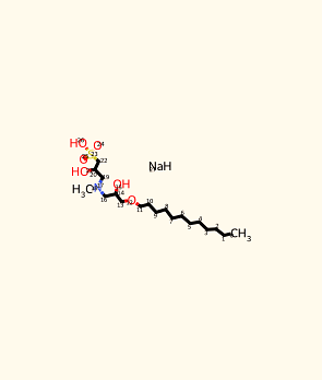 CCCCCCCCCCCCOCC(O)CN(C)CC(O)CS(=O)(=O)O.[NaH]